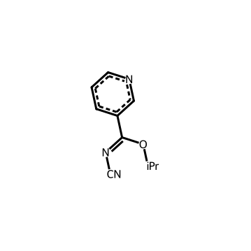 CC(C)OC(=NC#N)c1cccnc1